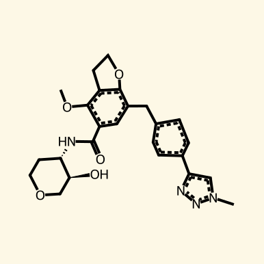 COc1c(C(=O)N[C@H]2CCOC[C@@H]2O)cc(Cc2ccc(-c3cn(C)nn3)cc2)c2c1CCO2